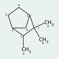 CC1C2CC[C](C2)C1(C)C